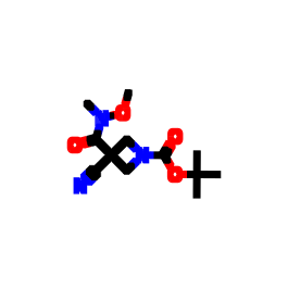 CON(C)C(=O)C1(C#N)CN(C(=O)OC(C)(C)C)C1